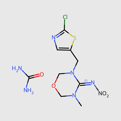 CN1COCN(Cc2cnc(Cl)s2)/C1=N/[N+](=O)[O-].NC(N)=O